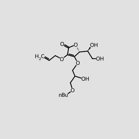 C=CCOC1=C(OCC(O)COCCCC)[C@@H]([C@@H](O)CO)OC1=O